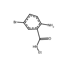 CCNC(=O)c1cc(Br)ccc1N